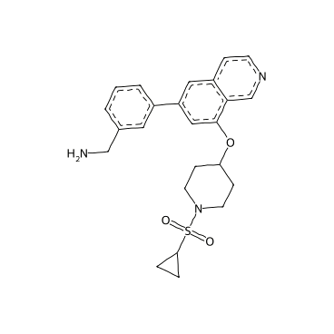 NCc1cccc(-c2cc(OC3CCN(S(=O)(=O)C4CC4)CC3)c3cnccc3c2)c1